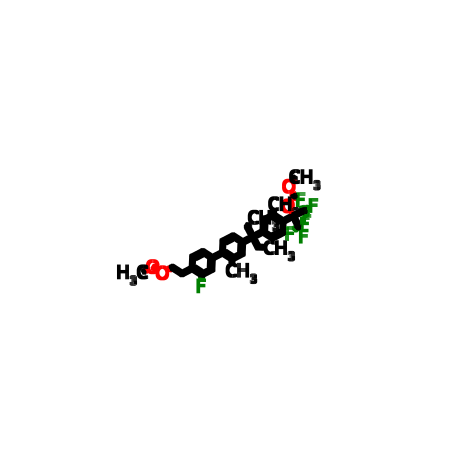 CCC(CC)(c1ccc(-c2ccc(CCOOC)c(F)c2)c(C)c1)c1ccc(C(OCOC)(C(F)(F)F)C(F)(F)F)c(C)c1